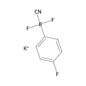 N#C[B-](F)(F)c1ccc(F)cc1.[K+]